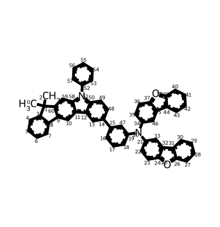 CC1(C)c2ccccc2-c2cc3c4cc(-c5cccc(N(c6ccc7oc8ccccc8c7c6)c6ccc7oc8ccccc8c7c6)c5)ccc4n(-c4ccccc4)c3cc21